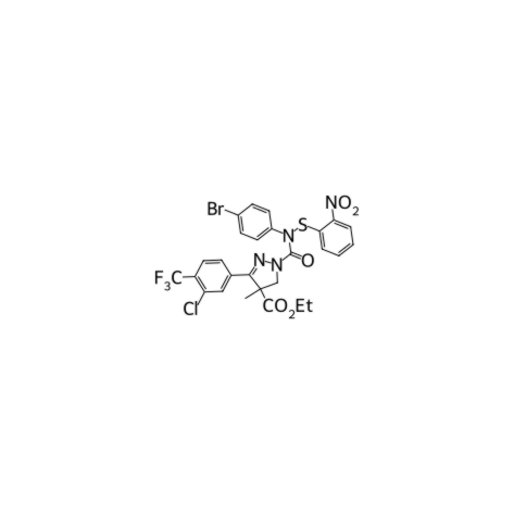 CCOC(=O)C1(C)CN(C(=O)N(Sc2ccccc2[N+](=O)[O-])c2ccc(Br)cc2)N=C1c1ccc(C(F)(F)F)c(Cl)c1